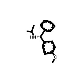 COc1ccc([C@H](NC(C)C)c2ccccc2)cc1